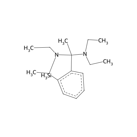 CCN(CC)C(C)(c1ccccc1[SiH3])N(CC)CC